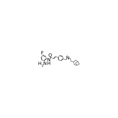 CN(CCC1CC2CC(C1)C2)Cc1ccc(/C=C/C(=O)Nc2cc(F)ccc2N)cc1